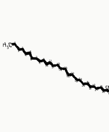 CCCCCCCCCCC=CCCCCCCCCCCCCCCCC(=O)O